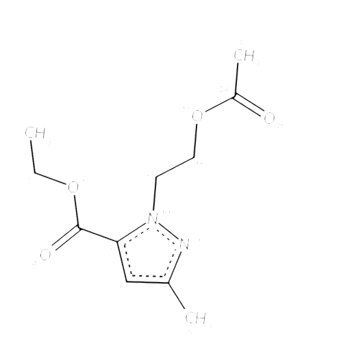 CCOC(=O)c1cc(C)nn1CCOC(C)=O